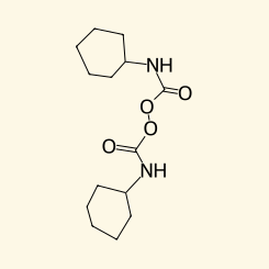 O=C(NC1CCCCC1)OOC(=O)NC1CCCCC1